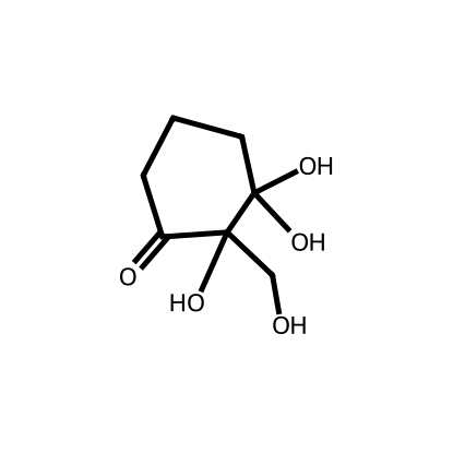 O=C1CCCC(O)(O)C1(O)CO